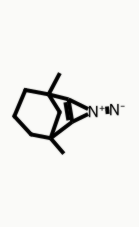 CC12CCCC(C)(C1)C1=C2[N+]1=[N-]